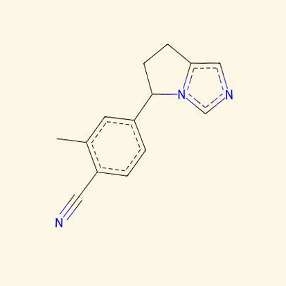 Cc1cc(C2CCc3cncn32)ccc1C#N